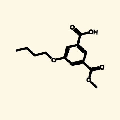 CCCCOc1cc(C(=O)O)cc(C(=O)OC)c1